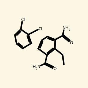 CCc1c(C(N)=O)cccc1C(N)=O.Clc1ccccc1Cl